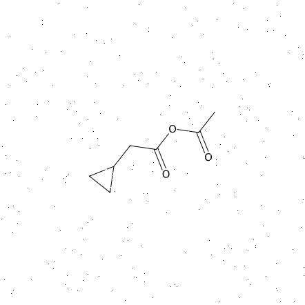 CC(=O)OC(=O)CC1CC1